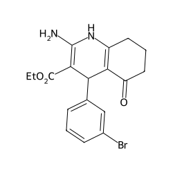 CCOC(=O)C1=C(N)NC2=C(C(=O)CCC2)C1c1cccc(Br)c1